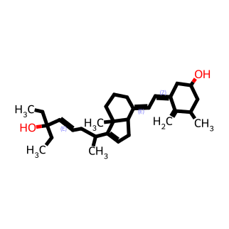 C=C1/C(=C\C=C2/CCCC3(C)C(C(C)C/C=C/C(O)(CC)CC)=CCC23)CC(O)CC1C